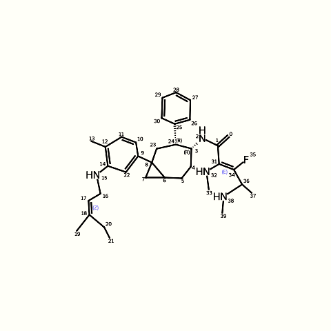 C=C(N[C@@H]1CCC2CC2(c2ccc(C)c(NC/C=C(/C)CC)c2)C[C@@H]1c1ccccc1)/C(NC)=C(\F)C(C)NC